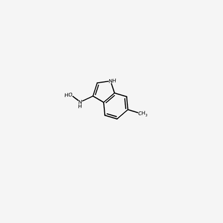 Cc1ccc2c(NO)c[nH]c2c1